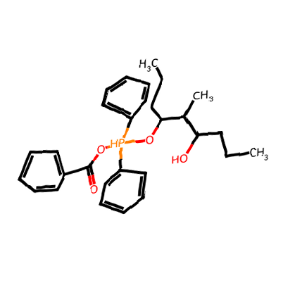 CCCC(O)C(C)C(CCC)O[PH](OC(=O)c1ccccc1)(c1ccccc1)c1ccccc1